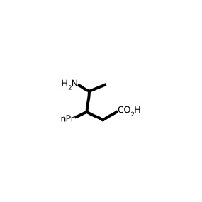 CCCC(CC(=O)O)C(C)N